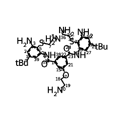 CC(C)(C)c1cc(N)c(SCCN)c(NC(=O)c2cc(OCCN)cc(C(=O)Nc3cc(C(C)(C)C)cc(N)c3SCCN)c2)c1